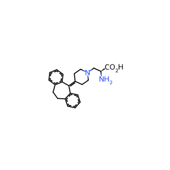 N[C@@H](CN1CCC(=C2c3ccccc3CCc3ccccc32)CC1)C(=O)O